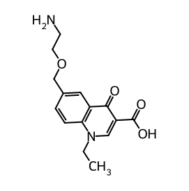 CCn1cc(C(=O)O)c(=O)c2cc(COCCN)ccc21